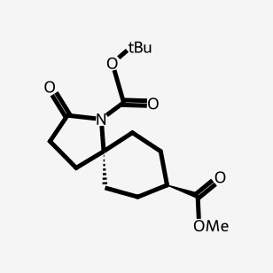 COC(=O)[C@H]1CC[C@@]2(CCC(=O)N2C(=O)OC(C)(C)C)CC1